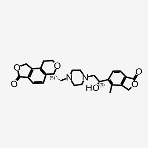 Cc1c([C@@H](O)CN2CCN(C[C@H]3OCCc4c3ccc3c4COC3=O)CC2)ccc2c1COC2=O